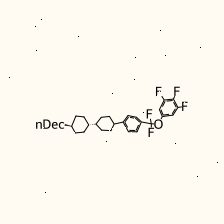 CCCCCCCCCC[C@H]1CC[C@H](C2CCC(c3ccc(C(F)(F)Oc4cc(F)c(F)c(F)c4)cc3)CC2)CC1